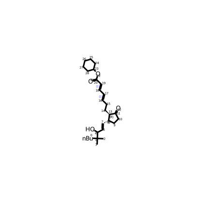 CCCCC(C)(C)C(O)C=C[C@H]1CCC(=O)[C@@H]1CC/C=C/C=C/C(=O)OC1CCCCC1